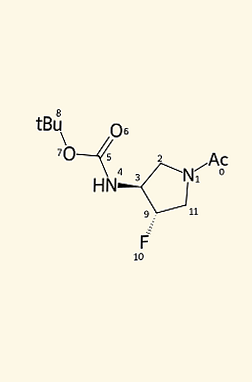 CC(=O)N1C[C@H](NC(=O)OC(C)(C)C)[C@@H](F)C1